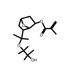 C=C(C)C(=O)OC1CC2CC(C(C)(C)OC(C)(C)C(C)(C)O)C1O2